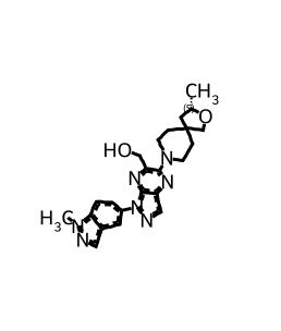 C[C@H]1CC2(CCN(c3nc4cnn(-c5ccc6c(cnn6C)c5)c4nc3CO)CC2)CO1